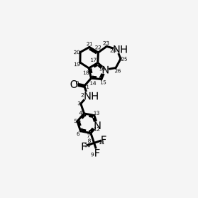 O=C(NCc1ccc(C(F)(F)F)nc1)c1cn2c3c1CCC=C3CNCC2